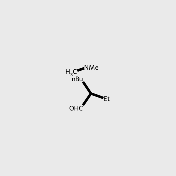 CCCCC(C=O)CC.CNC